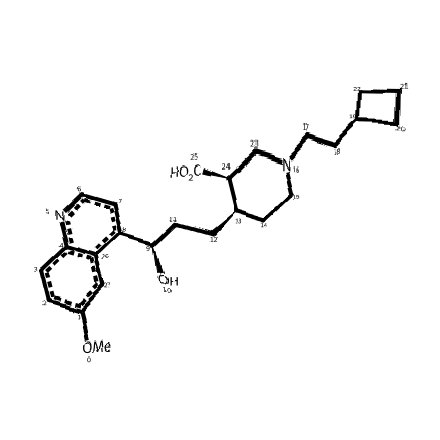 COc1ccc2nccc([C@H](O)CC[C@@H]3CCN(CCC4CCC4)C[C@@H]3C(=O)O)c2c1